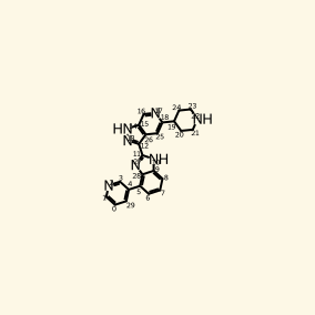 c1cncc(-c2cccc3[nH]c(-c4n[nH]c5cnc(C6CCNCC6)cc45)nc23)c1